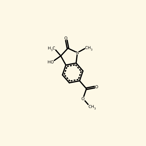 COC(=O)c1ccc2c(c1)N(C)C(=O)C2(C)O